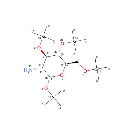 C[Si](C)(C)OC[C@H]1O[C@H](O[Si](C)(C)C)[C@H](N)[C@@H](O[Si](C)(C)C)[C@@H]1O[Si](C)(C)C